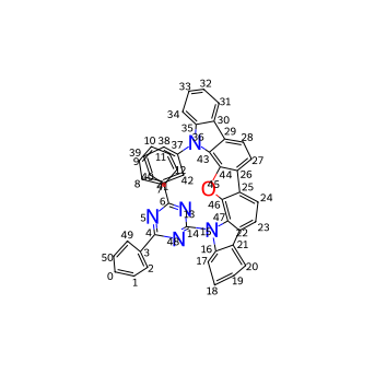 c1ccc(-c2nc(-c3ccccc3)nc(-n3c4ccccc4c4ccc5c6ccc7c8ccccc8n(-c8ccccc8)c7c6oc5c43)n2)cc1